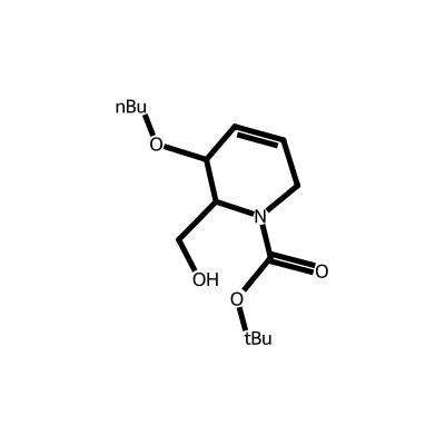 CCCCOC1C=CCN(C(=O)OC(C)(C)C)C1CO